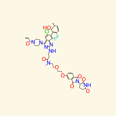 C=CC(=O)N1CCN(c2nc(NCCC(=O)N(C)CCOCCOc3ccc4c(c3)C(=O)N(C3CCC(=O)NC3=O)C4=O)nc3c(F)c(C4=C(F)C=C[C@H](C)[C@@H]4O)c(Cl)cc23)CC1